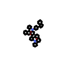 c1ccc(-c2c(-c3ccc(N(c4ccc(-c5cccc6ccccc56)cc4)c4ccccc4-c4cccc5ccccc45)cc3)cccc2-n2c3ccccc3c3ccccc32)cc1